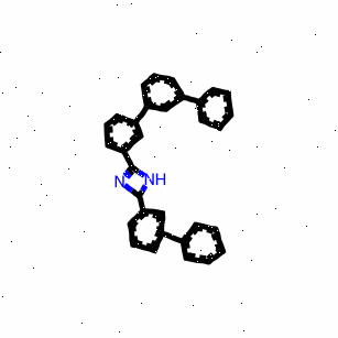 c1ccc(-c2cccc(-c3cccc(C4=NC(c5cccc(-c6ccccc6)c5)N4)c3)c2)cc1